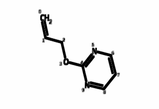 C=CCOc1ncccn1